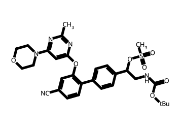 Cc1nc(Oc2cc(C#N)ccc2-c2ccc(C(CNC(=O)OC(C)(C)C)OS(C)(=O)=O)cc2)cc(N2CCOCC2)n1